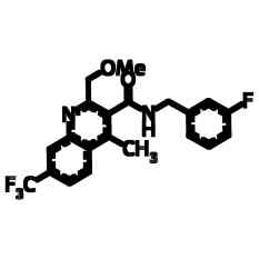 COCc1nc2cc(C(F)(F)F)ccc2c(C)c1C(=O)NCc1cccc(F)c1